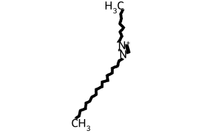 CCCCCCCCCCCCCCCCCCCn1cc[n+](CCCCCCCCC)c1